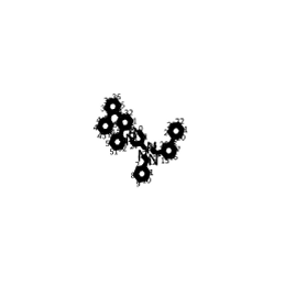 C1=CC(c2nc(-c3ccccc3)nc(-c3cccc(-c4ccccc4)c3)n2)=CN2B1c1ccc(-c3ccccc3-c3ccccc3)cc1-c1ccccc12